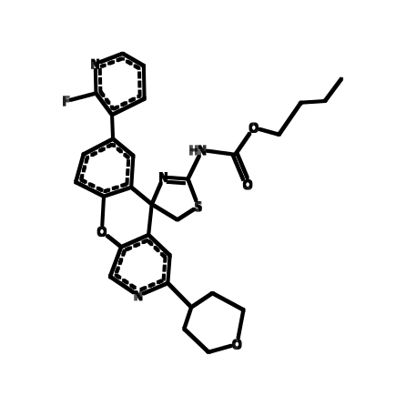 CCCCOC(=O)NC1=NC2(CS1)c1cc(-c3cccnc3F)ccc1Oc1cnc(C3CCOCC3)cc12